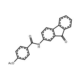 CC(=O)Oc1ccc(C(=O)Nc2ccc3c(c2)C(=O)c2ccccc2-3)cc1